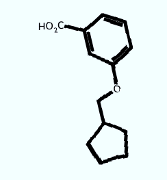 O=C(O)c1cccc(OCC2CCCC2)c1